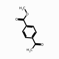 [CH2]C(=O)c1ccc(C(=O)OC)cc1